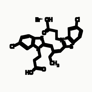 CCC(=Cc1sc2ccc(Cl)cc2[n+]1CCC(=O)O)C=C1Sc2ccc(Cl)cc2N1CCC(=O)O.[Br-]